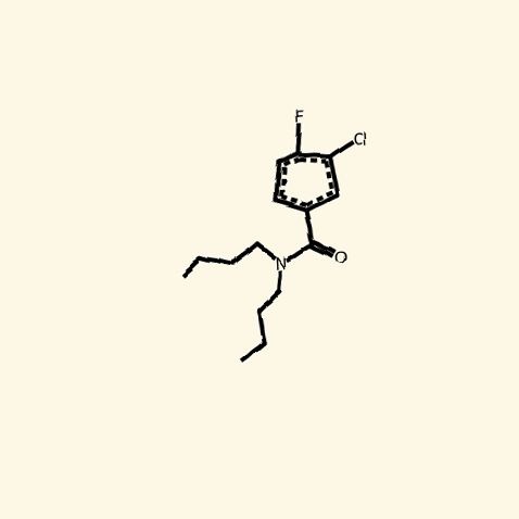 CCCCN(CCCC)C(=O)c1ccc(F)c(Cl)c1